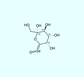 O=[Se]=C1O[C@@](O)(CO)[C@@H](O)[C@H](O)[C@@H]1O